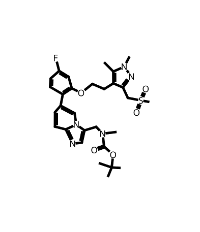 Cc1c(CCOc2cc(F)ccc2-c2ccc3ncc(CN(C)C(=O)OC(C)(C)C)n3c2)c(CS(C)(=O)=O)nn1C